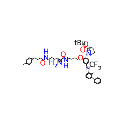 Cc1ccc(CCCC(=O)NCCCC[C@H](N)C(=O)NCCCCOc2cc(/C=C/c3cccc(-c4ccccc4)c3C)c(C(F)(F)F)cc2CN2CCCC[C@H]2C(=O)OC(C)(C)C)cc1